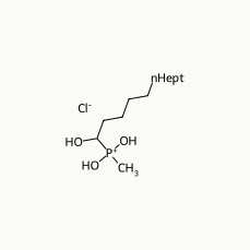 CCCCCCCCCCCC(O)[P+](C)(O)O.[Cl-]